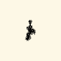 COc1cc(C#C[Si](C)(C)C)ccc1-c1nnc(NC2CCCN(C(=O)OC(C)(C)C)C2)c2cc(F)ccc12